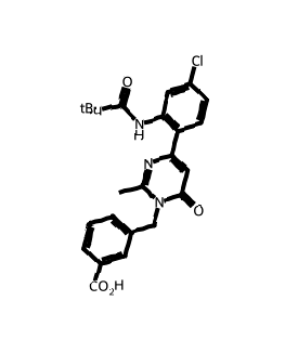 Cc1nc(-c2ccc(Cl)cc2NC(=O)C(C)(C)C)cc(=O)n1Cc1cccc(C(=O)O)c1